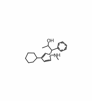 CNS1(C(c2ccccc2)C(C)O)C=CC(C2CCCCC2)=C1